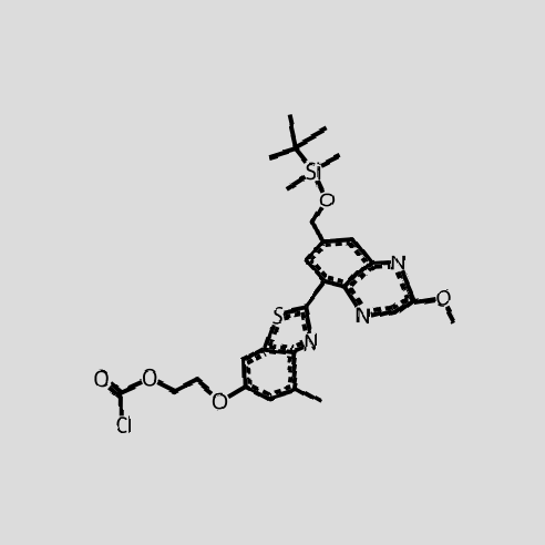 COc1cnc2c(-c3nc4c(C)cc(OCCOC(=O)Cl)cc4s3)cc(CO[Si](C)(C)C(C)(C)C)cc2n1